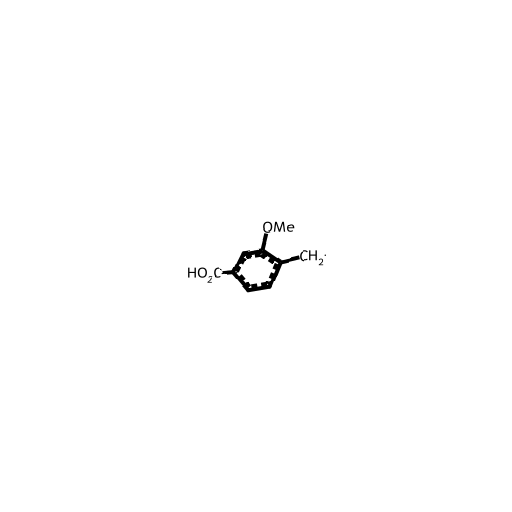 [CH2]c1ccc(C(=O)O)cc1OC